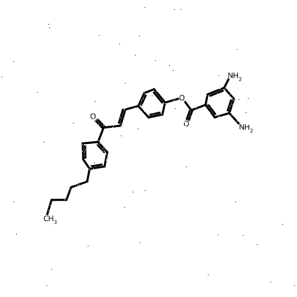 CCCCCc1ccc(C(=O)C=Cc2ccc(OC(=O)c3cc(N)cc(N)c3)cc2)cc1